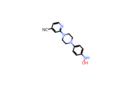 N#Cc1ccnc(N2CCN(c3ccc(NO)cc3)CC2)c1